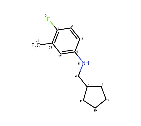 Fc1ccc(NCC2CCCC2)cc1C(F)(F)F